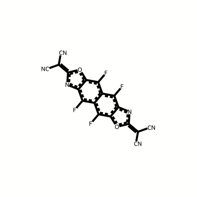 N#CC(C#N)=c1nc2c(F)c3c(F)c4oc(=C(C#N)C#N)nc4c(F)c3c(F)c2o1